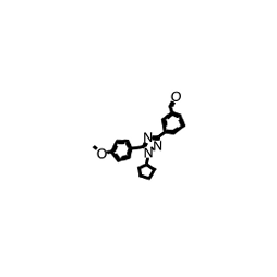 COc1ccc(-c2nc(-c3cccc(C=O)c3)nn2C2CCCC2)cc1